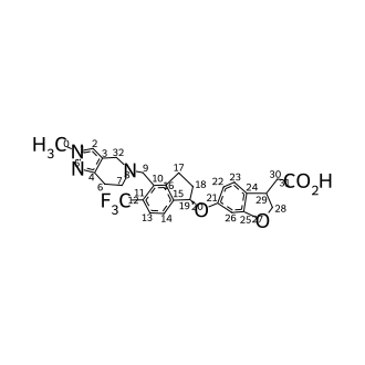 Cn1cc2c(n1)CCN(Cc1c(C(F)(F)F)ccc3c1CC[C@H]3Oc1ccc3c(c1)OCC3CC(=O)O)C2